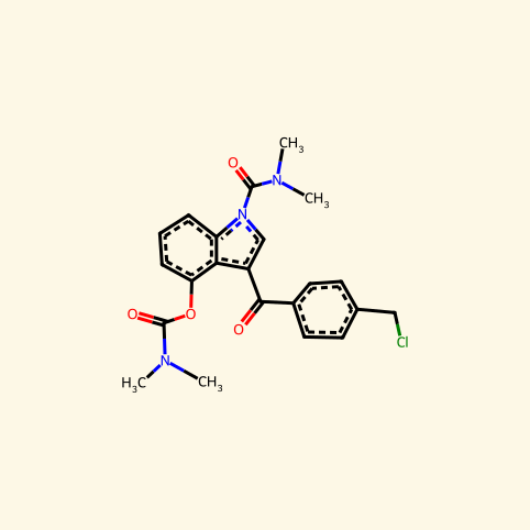 CN(C)C(=O)Oc1cccc2c1c(C(=O)c1ccc(CCl)cc1)cn2C(=O)N(C)C